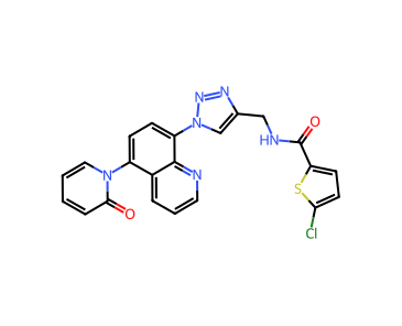 O=C(NCc1cn(-c2ccc(-n3ccccc3=O)c3cccnc23)nn1)c1ccc(Cl)s1